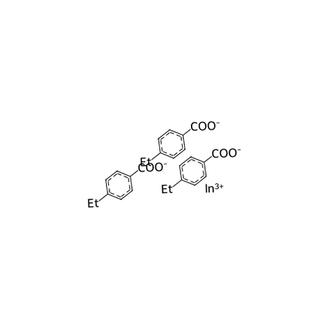 CCc1ccc(C(=O)[O-])cc1.CCc1ccc(C(=O)[O-])cc1.CCc1ccc(C(=O)[O-])cc1.[In+3]